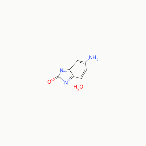 Nc1ccc2c(c1)=NC(=O)N=2.O